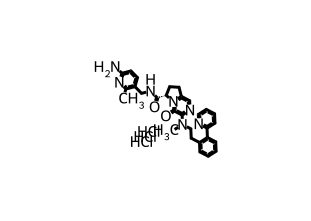 Cc1nc(N)ccc1CNC(=O)[C@@H]1CCc2cnc(N(C)CCc3ccccc3-c3ccccn3)c(=O)n21.Cl.Cl.Cl